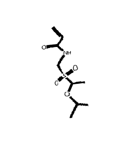 C=CC(=O)NCS(=O)(=O)C(C)OC(C)C